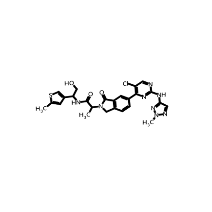 Cc1cc(C(CO)NC(=O)C(C)N2Cc3ccc(-c4nc(Nc5cnn(C)n5)ncc4Cl)cc3C2=O)cs1